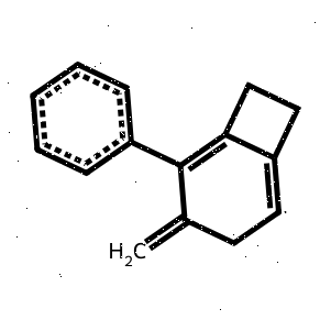 C=C1C[C]=C2CCC2=C1c1ccccc1